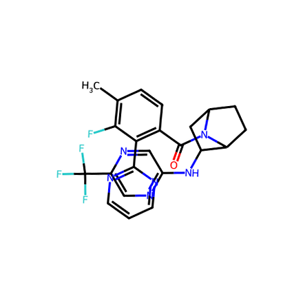 Cc1ccc(C(=O)N2C3CCC2C(Nc2cnc(C(F)(F)F)cn2)C3)c(-c2ncccn2)c1F